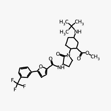 COC(=O)C1CC(NC(C)(C)C)CCC1N1CC[C@H](NC(=O)c2ccc(-c3cccc(C(F)(F)F)c3)o2)C1=O